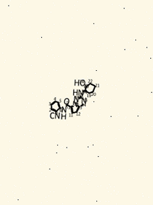 N#Cc1ccccc1NC(=O)c1ccc2cnc(N[C@@H]3CCCC[C@@H]3O)nn12